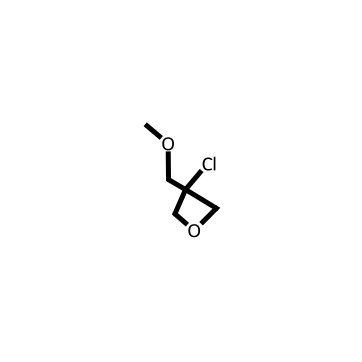 COCC1(Cl)COC1